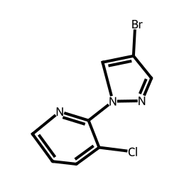 Clc1cccnc1-n1cc(Br)cn1